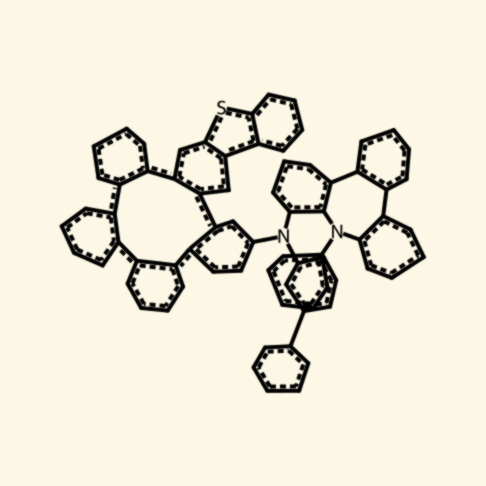 c1ccc(-c2cccc(N(c3ccc4c5ccccc5c5ccccc5c5ccccc5c5cc6sc7ccccc7c6cc5c4c3)c3cccc4c3N(c3ccccc3)c3ccccc3-c3ccccc3-4)c2)cc1